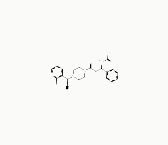 Cc1ncccc1C(C#N)N1CCN(C(=O)CC(c2ccccc2)N(O)C(N)=O)CC1